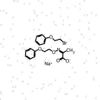 BrCCOc1ccccc1.CC(=NOCCOc1ccccc1)C(=O)[O-].[Na+]